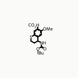 COc1cc2c(cc1C(=O)O)SCCC2NC(=O)OC(C)(C)C